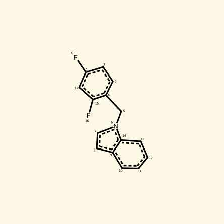 Fc1ccc(Cn2ccc3ccccc32)c(F)c1